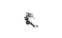 N#CCCCOc1cccc(-c2csc(NC(=N)N)n2)c1